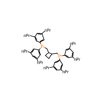 CCCc1cc(CCC)cc(P(CC2CCC2CP(c2cc(CCC)cc(CCC)c2)c2cc(CCC)cc(CCC)c2)c2cc(CCC)cc(CCC)c2)c1